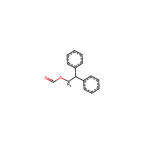 O=[C]O[SiH2]C(c1ccccc1)c1ccccc1